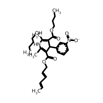 C/C=C/C=C/COC(=O)C1=C(C)NC(C)=C(C(=O)OCCCC)C1c1cccc([N+](=O)[O-])c1.CCCCO